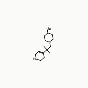 CC(C)(CN1CCC(C(C)(C)C)CC1)C1=CCNCC1